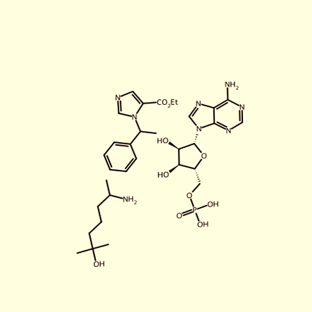 CC(N)CCCC(C)(C)O.CCOC(=O)c1cncn1C(C)c1ccccc1.Nc1ncnc2c1ncn2[C@@H]1O[C@H](COP(=O)(O)O)[C@@H](O)[C@H]1O